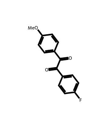 COc1ccc(C(=O)C(=O)c2ccc(F)cc2)cc1